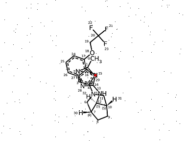 Cc1ncc(N2C[C@H]3CC[C@@H](C2)[C@@H]3Nc2nc3c(OCC(F)(F)F)cccn3n2)s1